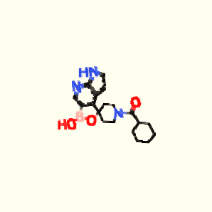 O=C(C1CCCCC1)N1CCC2(CC1)OB(O)c1cnc3[nH]ccc3c12